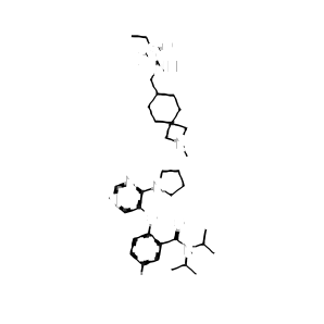 CCS(=O)(=O)NCC1CCC2(CC1)CN(C[C@@H]1CCN(c3ncncc3Oc3ccc(F)cc3C(=O)N(C(C)C)C(C)C)C1)C2